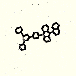 c1ccc(-c2cc(-c3ccc(-c4c5ccccc5c(-c5cccc6ccccc56)c5ccccc45)cc3)cc(-c3ccccc3)n2)cc1